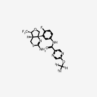 [2H]C([2H])([2H])Oc1cnc(C(=O)Nc2ccc(F)c([C@]34CO[C@H](C(F)(F)F)[C@H]3CSC(N)=N4)c2)cn1